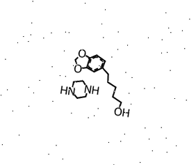 C1CNCCN1.OCCCCCc1ccc2c(c1)OCO2